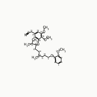 COc1ccccc1OCCCN(C)CCC(Oc1cc(CC#N)cc(OC)c1OC)C(C)C